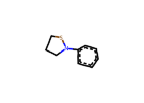 c1ccc(N2CCCS2)cc1